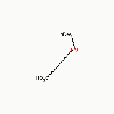 CCCCCCCCCCCCCCCCCC(=O)OCCCCCCCCCCCCCCCCCCCC(=O)O